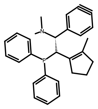 CC1=C(C([C@@H](c2cc#ccc2)N(C)C)P(c2ccccc2)c2ccccc2)CCC1